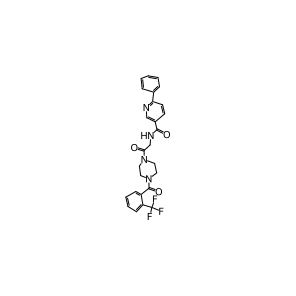 O=C(NCC(=O)N1CCN(C(=O)c2ccccc2C(F)(F)F)CC1)c1ccc(-c2ccccc2)nc1